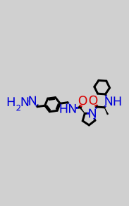 C[C@H](NC1CCCCC1)C(=O)N1CCC[C@H]1C(=O)NCc1ccc(C=NN)cc1